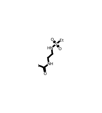 CCS(=O)(=O)NCCNC(=O)I